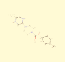 Cc1cnc(N2CCN(C(=O)Oc3ccc(C(C)C)cc3)CC2)cn1